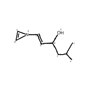 CC(C)CC(O)C=CN1C=C1